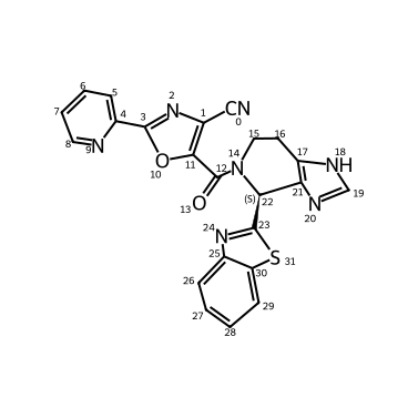 N#Cc1nc(-c2ccccn2)oc1C(=O)N1CCc2[nH]cnc2[C@H]1c1nc2ccccc2s1